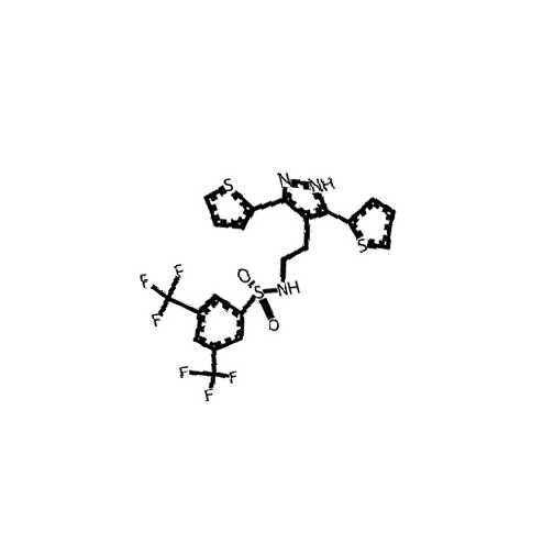 O=S(=O)(NCCc1c(-c2cccs2)n[nH]c1-c1cccs1)c1cc(C(F)(F)F)cc(C(F)(F)F)c1